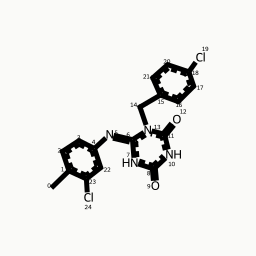 Cc1ccc(/N=c2\[nH]c(=O)[nH]c(=O)n2Cc2ccc(Cl)cc2)cc1Cl